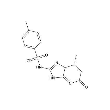 Cc1ccc(S(=O)(=O)NC2=NC3C(=NC(=O)C[C@H]3C)N2)cc1